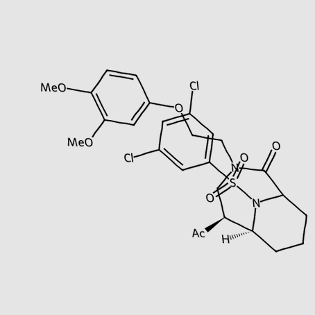 COc1ccc(OCCN2C[C@H](C(C)=O)[C@@H]3CCCC(C2=O)N3S(=O)(=O)c2cc(Cl)cc(Cl)c2)cc1OC